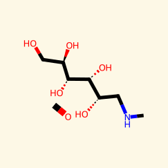 C=O.CNC[C@H](O)[C@@H](O)[C@H](O)[C@H](O)CO